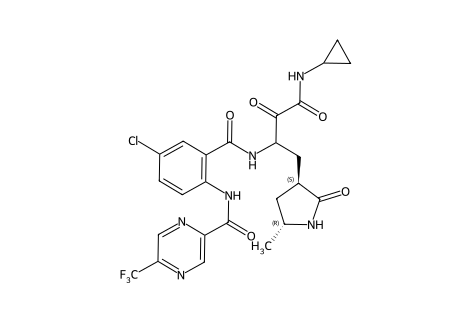 C[C@@H]1C[C@@H](CC(NC(=O)c2cc(Cl)ccc2NC(=O)c2cnc(C(F)(F)F)cn2)C(=O)C(=O)NC2CC2)C(=O)N1